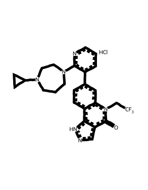 Cl.O=c1c2cn[nH]c2c2ccc(-c3cccnc3N3CCCN(C4CC4)CC3)cc2n1CC(F)(F)F